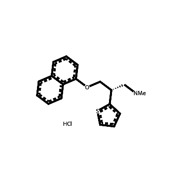 CNC[C@@H](COc1cccc2ccccc12)c1cccs1.Cl